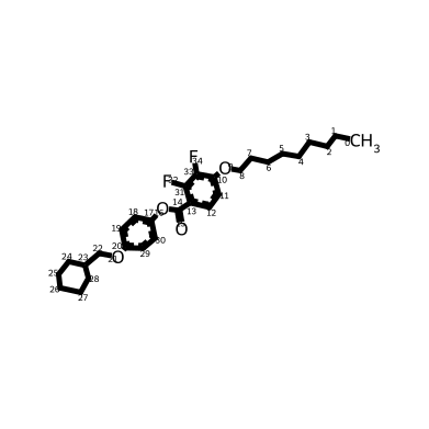 CCCCCCCCCOc1ccc(C(=O)Oc2ccc(OCC3CC[CH]CC3)cc2)c(F)c1F